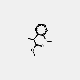 COC(=O)C(C)c1ccccc1OC